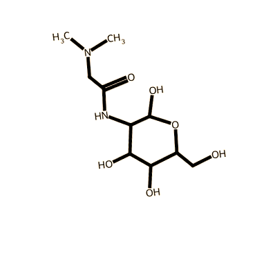 CN(C)CC(=O)NC1C(O)OC(CO)C(O)C1O